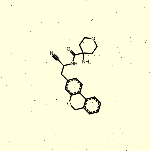 N#C[C@H](Cc1ccc2c(c1)OCc1ccccc1-2)NC(=O)C1(N)CCOCC1